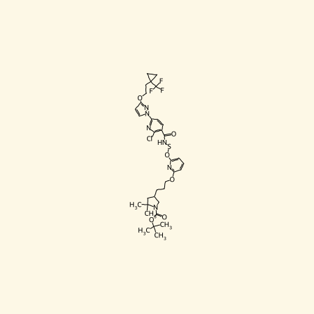 CC(C)(C)OC(=O)N1CC(CCCOc2cccc(OSNC(=O)c3ccc(-n4ccc(OCCC5(C(F)(F)F)CC5)n4)nc3Cl)n2)CC1(C)C